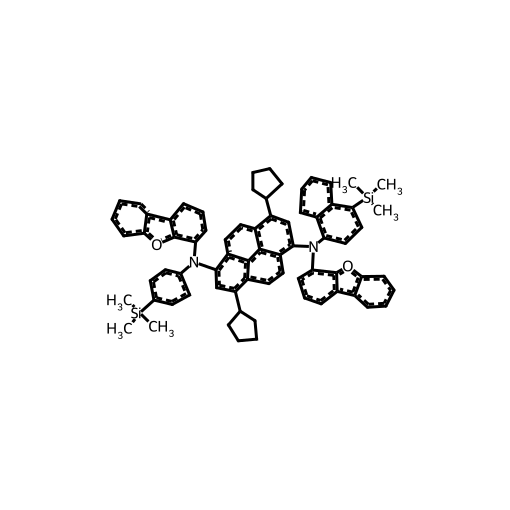 C[Si](C)(C)c1ccc(N(c2cc(C3CCCC3)c3ccc4c(N(c5ccc([Si](C)(C)C)c6ccccc56)c5cccc6c5oc5ccccc56)cc(C5CCCC5)c5ccc2c3c54)c2cccc3c2oc2ccccc23)cc1